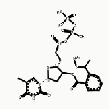 CSSC(C)c1ccccc1C(=O)OC1C[C@H](n2cc(C)c(=O)[nH]c2=O)O[C@@H]1CO[PH](=O)OP(=O)(O)OP(=O)(O)O